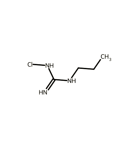 CCCNC(=N)NCl